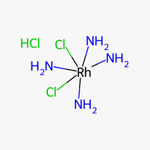 Cl.[NH2][Rh]([NH2])([NH2])([NH2])([Cl])[Cl]